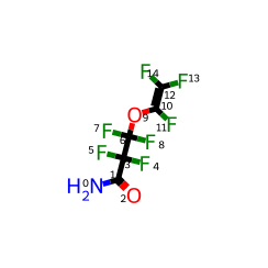 NC(=O)C(F)(F)C(F)(F)OC(F)=C(F)F